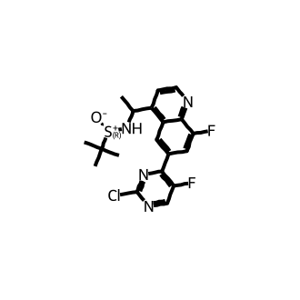 CC(N[S@@+]([O-])C(C)(C)C)c1ccnc2c(F)cc(-c3nc(Cl)ncc3F)cc12